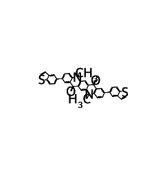 Cn1c2ccc(-c3ccc4sccc4c3)cc2c(=O)c2cc3c(cc21)c(=O)c1cc(-c2ccc4sccc4c2)ccc1n3C